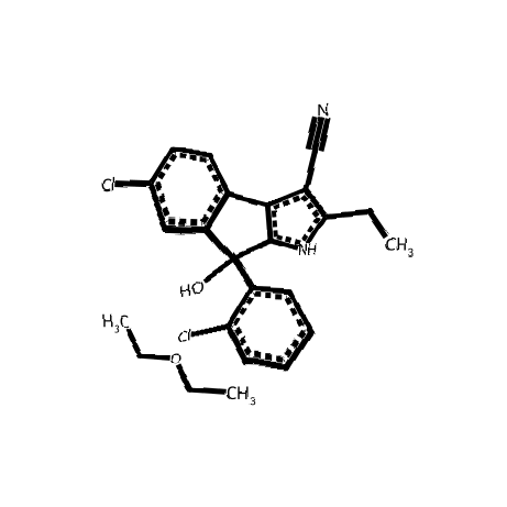 CCOCC.CCc1[nH]c2c(c1C#N)-c1ccc(Cl)cc1C2(O)c1ccccc1Cl